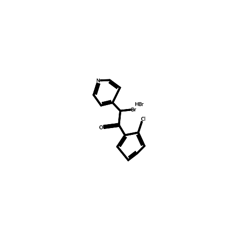 Br.O=C(c1ccccc1Cl)C(Br)c1ccncc1